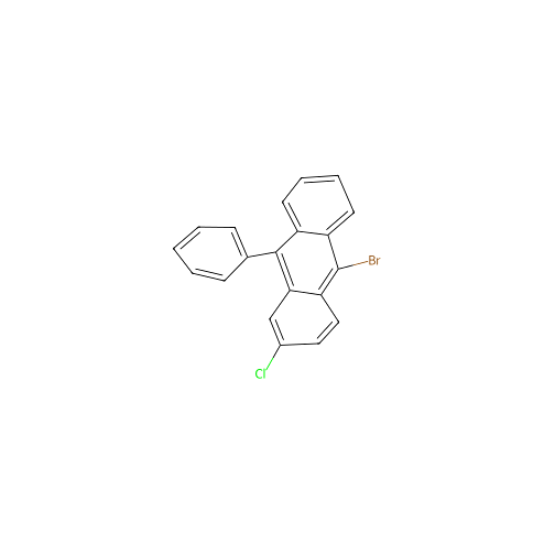 Clc1ccc2c(Br)c3ccccc3c(-c3ccccc3)c2c1